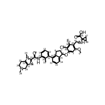 COc1cc(OC2CCc3c(-c4cccc(NC(=O)c5nc6c(n5C)CCN(C)C6)c4C)cccc32)c(Cl)c(F)c1CNC1(C(=O)O)CC1